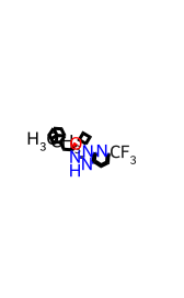 CC1(C)C2CCC(CC(=O)Nc3nc4ccc(C(F)(F)F)nc4n3C3CCC3)C1C2